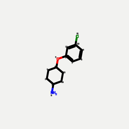 NC1CCC(Oc2cccc(Cl)c2)CC1